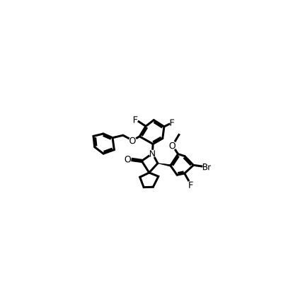 COc1cc(Br)c(F)cc1[C@@H]1N(c2cc(F)cc(F)c2OCc2ccccc2)C(=O)C12CCCC2